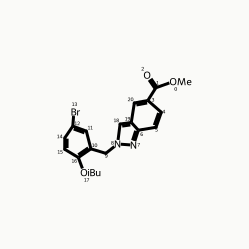 COC(=O)c1ccc2nn(Cc3cc(Br)ccc3OCC(C)C)cc2c1